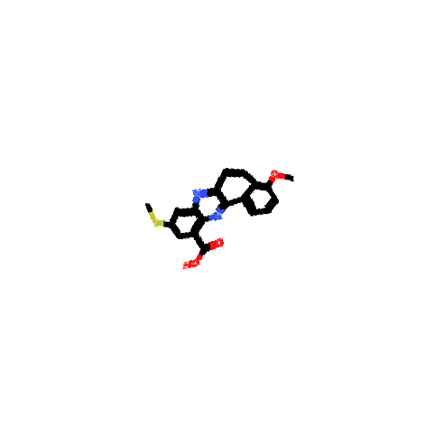 COc1cccc2c1ccc1nc3cc(SC)cc(C(=O)O)c3nc12